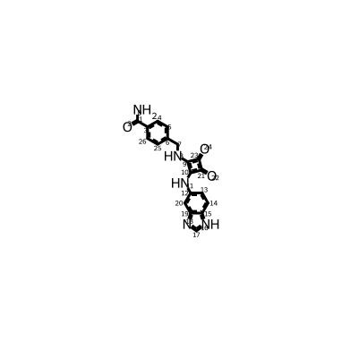 NC(=O)c1ccc(CNc2c(Nc3ccc4[nH]cnc4c3)c(=O)c2=O)cc1